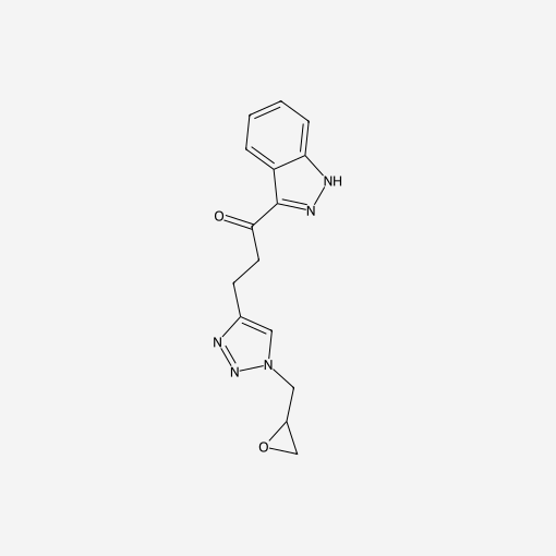 O=C(CCc1cn(CC2CO2)nn1)c1n[nH]c2ccccc12